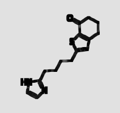 O=C1CCCc2cc(CCCCc3ncc[nH]3)sc21